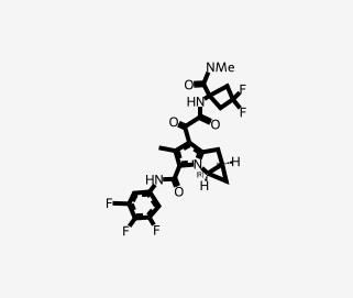 CNC(=O)C1(NC(=O)C(=O)c2c(C)c(C(=O)Nc3cc(F)c(F)c(F)c3)n3c2C[C@H]2C[C@H]23)CC(F)(F)C1